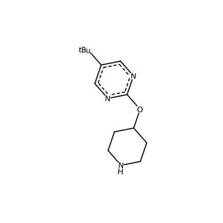 CC(C)(C)c1cnc(OC2CCNCC2)nc1